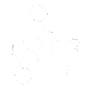 COCc1noc(C)c1-c1cc(N2CCOC[C@H]2C)nc2c(-c3ccnn3C3CCCCO3)nccc12